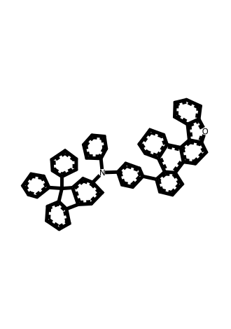 c1ccc(N(c2ccc(-c3cccc4c5ccc6oc7ccccc7c6c5c5ccccc5c34)cc2)c2ccc3c(c2)C(c2ccccc2)(c2ccccc2)c2ccccc2-3)cc1